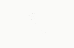 C/C=C/C1CCC(c2ccc(C(=O)O)cc2)CC1